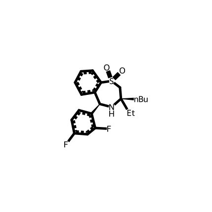 CCCC[C@]1(CC)CS(=O)(=O)c2ccccc2[C@H](c2ccc(F)cc2F)N1